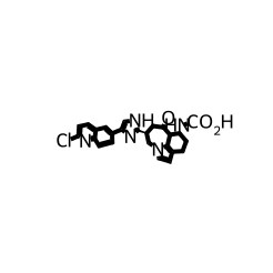 O=C(O)N[C@H]1CCc2ccn3c2C1C(=O)C[C@H](c1nc(-c2ccc4nc(Cl)ccc4c2)c[nH]1)C3